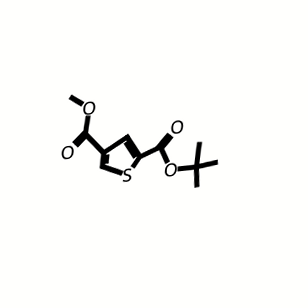 COC(=O)c1csc(C(=O)OC(C)(C)C)c1